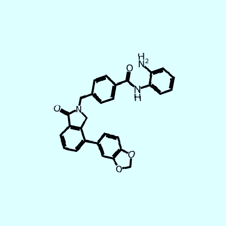 Nc1ccccc1NC(=O)c1ccc(CN2Cc3c(cccc3-c3ccc4c(c3)OCO4)C2=O)cc1